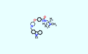 CCn1c2ccccc2c2cc(CN3CCC(Oc4ccc(C(=O)NCC(C)(C)N(C)C)cc4)CC3)ccc21